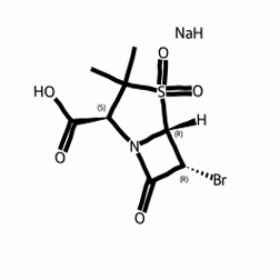 CC1(C)[C@H](C(=O)O)N2C(=O)[C@@H](Br)[C@H]2S1(=O)=O.[NaH]